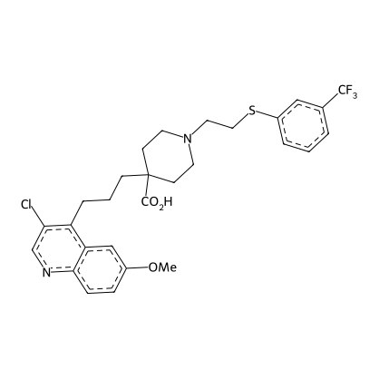 COc1ccc2ncc(Cl)c(CCCC3(C(=O)O)CCN(CCSc4cccc(C(F)(F)F)c4)CC3)c2c1